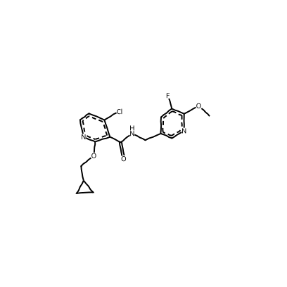 COc1ncc(CNC(=O)c2c(Cl)ccnc2OCC2CC2)cc1F